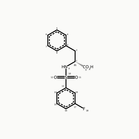 O=C(O)[C@@H](Cc1ccccc1)NS(=O)(=O)c1cccc(F)c1